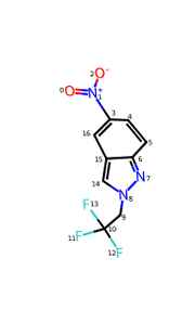 O=[N+]([O-])c1ccc2nn(CC(F)(F)F)cc2c1